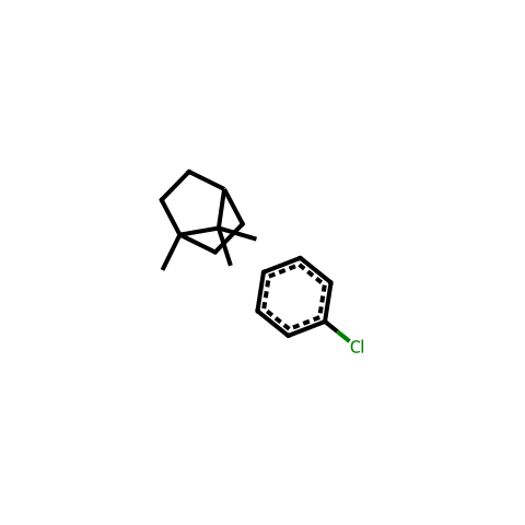 CC12CCC(CC1)C2(C)C.Clc1ccccc1